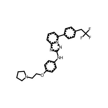 FC(F)(F)Cc1ccc(-c2cccc3nc(Nc4ccc(OCCN5CCCC5)cc4)nn23)cc1